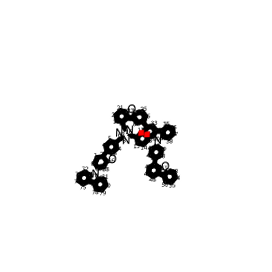 C1=CC2c3ccc(-c4nc(-c5ccccc5)nc(-c5cccc6oc7ccc(-c8ccc9c(c8)c8ccccc8n9-c8ccc(-c9cccc%10c9oc9ccccc9%10)cc8)cc7c56)n4)cc3OC2C=C1n1c2ccccc2c2ccccc21